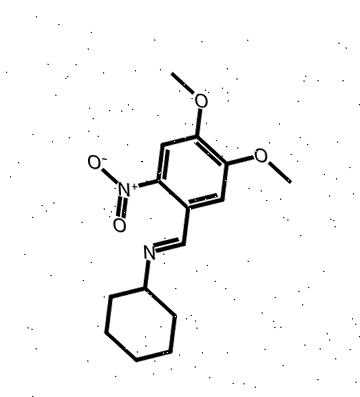 COc1cc(C=NC2CCCCC2)c([N+](=O)[O-])cc1OC